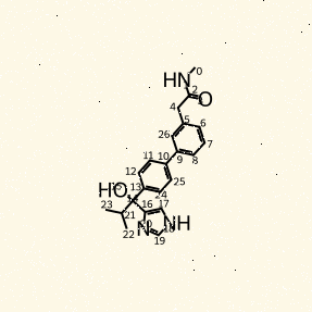 CNC(=O)Cc1cccc(-c2ccc(C(O)(c3c[nH]cn3)C(C)C)cc2)c1